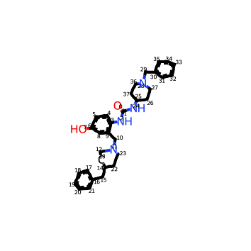 O=C(Nc1ccc(O)cc1CN1CCC(Cc2ccccc2)CC1)NC1CCN(Cc2ccccc2)CC1